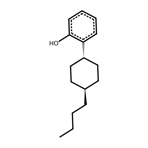 CCCC[C@H]1CC[C@H](c2ccccc2O)CC1